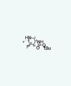 C[C@@H]1NC[C@H](NC(=O)OC(C)(C)C)C[C@H]1F